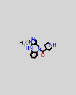 Cn1ncc2c1Nc1ccccc1N(C(=O)C1CCNCC1)C2